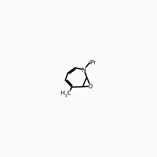 CC1=CC=CN(C(C)C)C2OC12